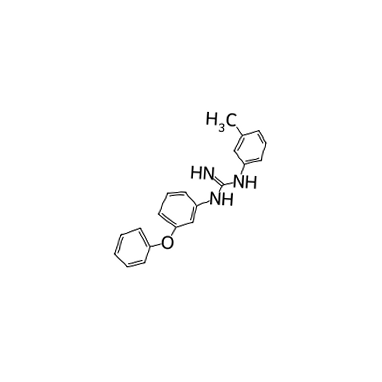 Cc1cccc(NC(=N)Nc2cccc(Oc3ccccc3)c2)c1